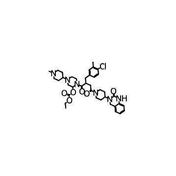 CCOC(=O)OC1CN(C2CCN(C)CC2)CCN1C(=O)C(CC(=O)N1CCC(N2Cc3ccccc3NC2=O)CC1)Cc1ccc(Cl)c(C)c1